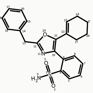 NS(=O)(=O)c1ccccc1-c1nc(Cc2ccccc2)oc1C1=CCCCC1